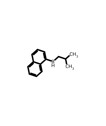 CC(C)CBc1cccc2ccccc12